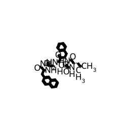 CC(C)C[C@H](NC(=O)O)C(=O)NC(Cc1ccccc1)C(=O)C(=O)NCC(=O)NC(Cc1ccc2ccccc2c1)C(N)=O